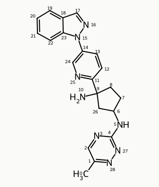 Cc1cnc(NC2CCC(N)(c3ccc(-n4ncc5ccccc54)cn3)C2)nn1